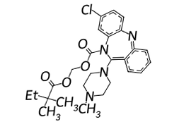 CCC(C)(C)C(=O)OCOC(=O)N1C(N2CCN(C)CC2)=c2ccccc2=Nc2ccc(Cl)cc21